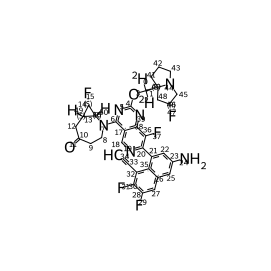 [2H]C([2H])(Oc1nc(N2CCC(=O)C[C@@H]3[C@H](F)[C@@H]32)c2cnc(-c3cc(N)cc4cc(F)c(F)c(C#C)c34)c(F)c2n1)[C@@]12CCCN1C[C@H](F)C2